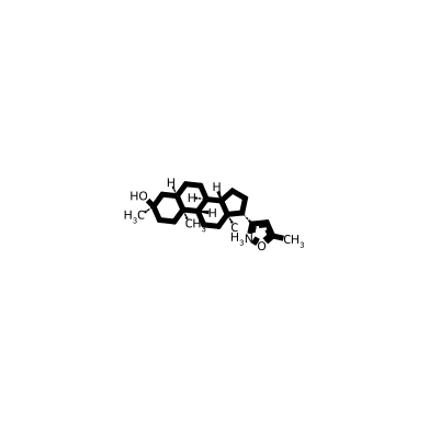 Cc1cc([C@H]2CC[C@H]3[C@@H]4CC[C@@H]5C[C@](C)(O)CC[C@]5(C)[C@H]4CC[C@]23C)no1